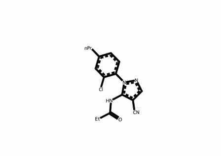 CCCc1ccc(-n2ncc(C#N)c2NC(=O)CC)c(Cl)c1